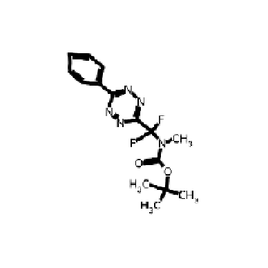 CN(C(=O)OC(C)(C)C)C(F)(F)c1nnc(-c2ccccc2)nn1